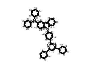 c1ccc(-c2cc(-c3ccccc3)nc(-c3ccc(-n4c5ccccc5c5cc(N(c6ccccc6)c6ccccc6)ccc54)cc3)n2)cc1